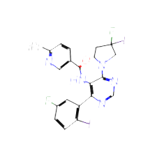 CC(C)c1ccc(C(=O)Nc2c(-c3cc(F)ccc3I)ncnc2N2CCC(F)(I)C2)cn1